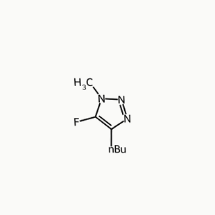 CCCCc1nnn(C)c1F